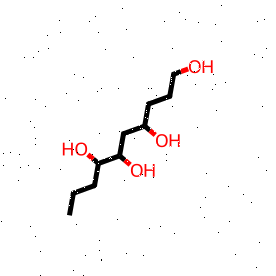 CCCC(O)C(O)CC(O)CCCO